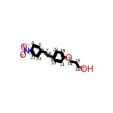 O=[N+]([O-])c1ccc(/C=C/c2ccc(OCCCO)cc2)cc1